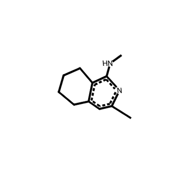 CNc1nc(C)cc2c1CCCC2